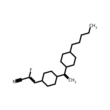 C=C(C1CCC(C=C(F)C#N)CC1)C1CCC(CCCCC)CC1